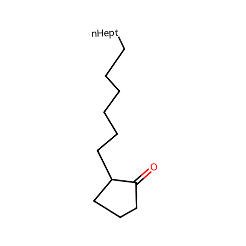 CCCCCCCCCCCCCC1CCCC1=O